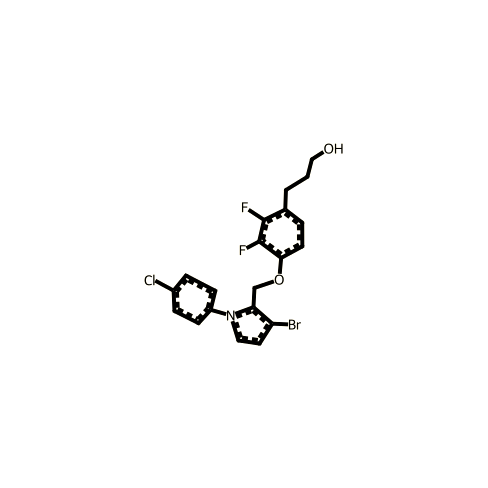 OCCCc1ccc(OCc2c(Br)ccn2-c2ccc(Cl)cc2)c(F)c1F